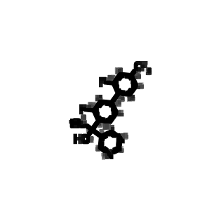 CC(C)(C)C(O)(c1cncnc1)c1ccc(-c2ccc(C(F)(F)F)cc2F)cc1F